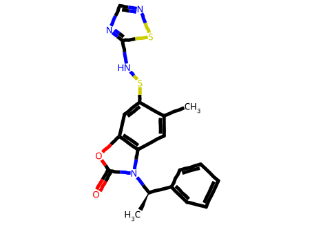 Cc1cc2c(cc1SNc1ncns1)oc(=O)n2[C@H](C)c1ccccc1